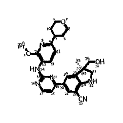 CC(C)Oc1nc(C2CCOCC2)ccc1Nc1nccc(-c2cc(C#N)c3c(c2)[C@@](C)(CO)CN3)n1